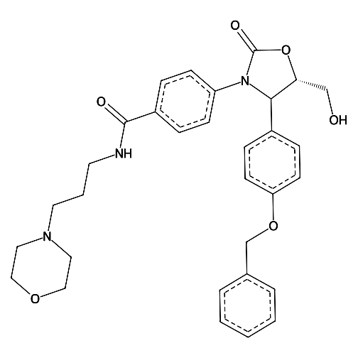 O=C(NCCCN1CCOCC1)c1ccc(N2C(=O)O[C@H](CO)C2c2ccc(OCc3ccccc3)cc2)cc1